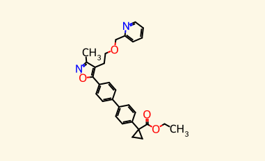 CCOC(=O)C1(c2ccc(-c3ccc(-c4onc(C)c4CCOCc4ccccn4)cc3)cc2)CC1